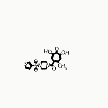 Cc1cc(O)c(=O)c(O)cc1C(=O)N1CCN(S(=O)(=O)c2ccsc2)CC1